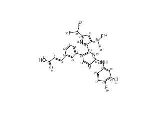 O=C(O)C=Cc1cccc(-c2cnc(Nc3ccc(F)c(Cl)c3)nc2-n2nc(C(F)F)cc2C(F)F)c1